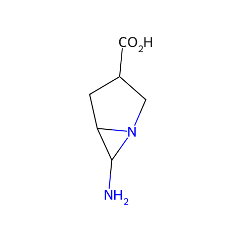 NC1C2CC(C(=O)O)CN12